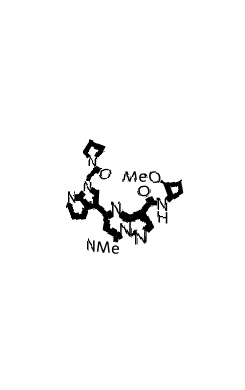 CNc1cc(-c2cn(CC(=O)N3CCC3)c3ncccc23)nc2c(C(=O)NC3CC[C@@H]3OC)cnn12